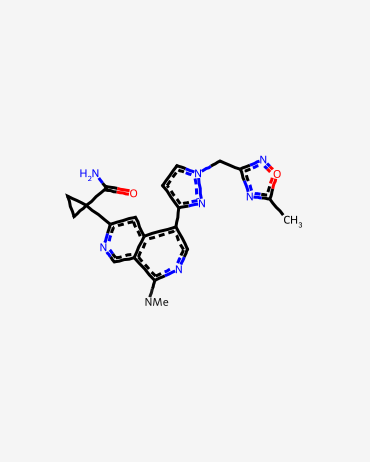 CNc1ncc(-c2ccn(Cc3noc(C)n3)n2)c2cc(C3(C(N)=O)CC3)ncc12